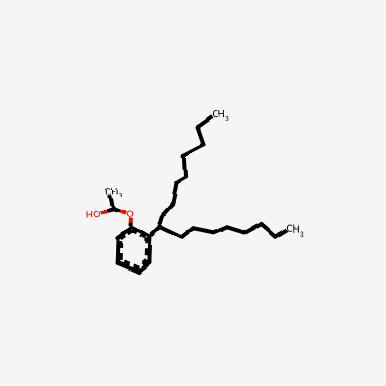 CCCCCCCCC(CCCCCCCC)c1ccccc1OC(C)O